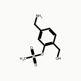 CS(=O)(=O)Oc1cc(CN)ccc1CO